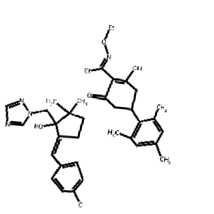 CC1(C)CC/C(=C\c2ccc(Cl)cc2)C1(O)Cn1cncn1.CCO/N=C(\CC)C1=C(O)CC(c2c(C)cc(C)cc2C)CC1=O